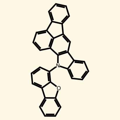 c1ccc2c(c1)-c1cccc3c1c-2cc1c2ccccc2n(-c2cccc4c2oc2ccccc24)c31